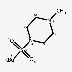 CN1CCN(S(=O)(=O)C(C)(C)C)CC1